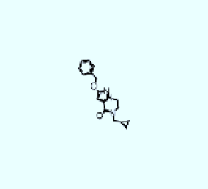 O=C1c2cc(OCc3ccccc3)nn2CCN1CC1CC1